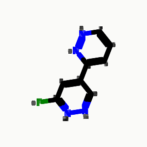 Fc1cc(-c2cccnn2)[c]nn1